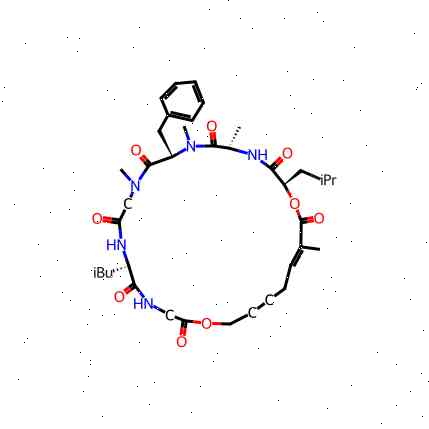 CCC(C)[C@@H]1NC(=O)CN(C)C(=O)[C@@H](Cc2ccccc2)N(C)C(=O)[C@H](C)NC(=O)[C@@H](CC(C)C)OC(=O)/C(C)=C/CCCCOC(=O)CNC1=O